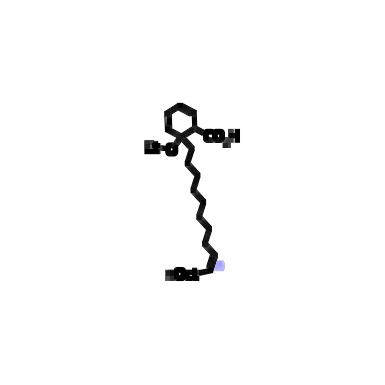 CCCCCCCC/C=C\CCCCCCCCC1(OCC)C=CC=CC1C(=O)O